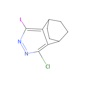 Clc1nnc(I)c2c1C1CCC2CC1